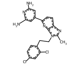 Cc1nc2ccc(-c3cc(N)nc(N)c3)nc2n1CCc1ccc(Cl)cc1Cl